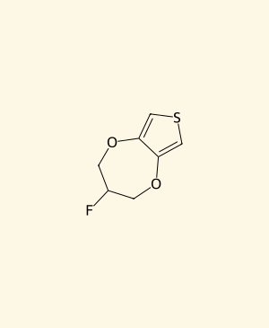 FC1COc2cscc2OC1